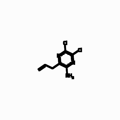 C=CCc1nc(Cl)c(Cl)nc1N